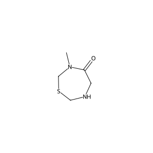 CN1CSCNCC1=O